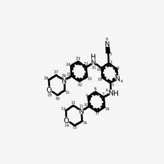 N#Cc1cnc(Nc2ccc(N3CCOCC3)cc2)cc1Nc1ccc(N2CCOCC2)cc1